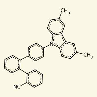 Cc1ccc2c(c1)c1cc(C)ccc1n2-c1ccc(-c2ccccc2-c2ccccc2C#N)cc1